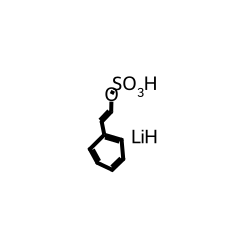 O=S(=O)(O)OC=Cc1ccccc1.[LiH]